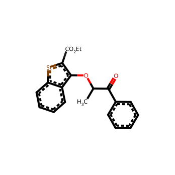 CCOC(=O)c1sc2ccccc2c1OC(C)C(=O)c1ccccc1